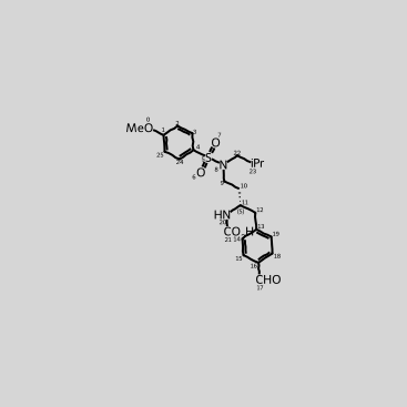 COc1ccc(S(=O)(=O)N(CC[C@H](Cc2ccc(C=O)cc2)NC(=O)O)CC(C)C)cc1